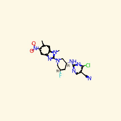 Cc1cc2c(cc1[N+](=O)[O-])nc(N1C[C@H](F)C[C@@H](Nc3ncc(C#N)c(Cl)n3)C1)n2C